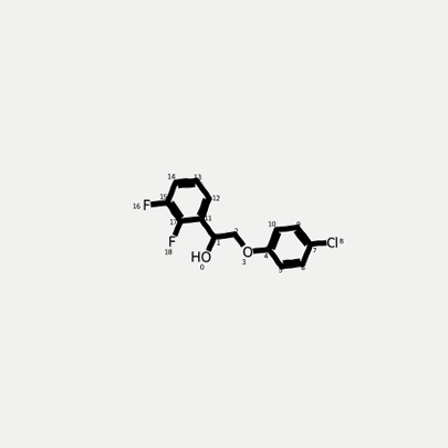 OC(COc1ccc(Cl)cc1)c1cccc(F)c1F